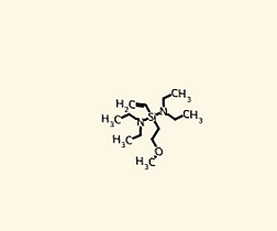 C=C[Si](CCOC)(N(CC)CC)N(CC)CC